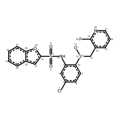 O=S(=O)(Nc1cc(Cl)ccc1[S+]([O-])Cc1cccnc1F)c1cc2ccccc2o1